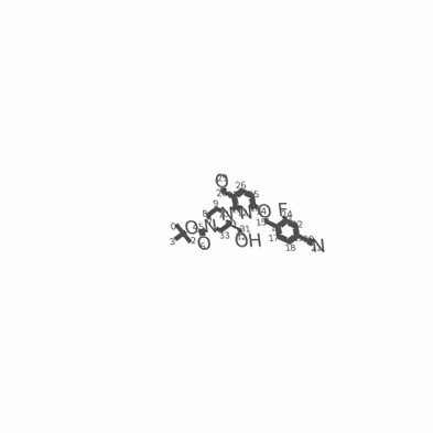 CC(C)(C)OC(=O)N1CCN(c2nc(OCc3ccc(C#N)cc3F)ccc2C=O)[C@@H](CO)C1